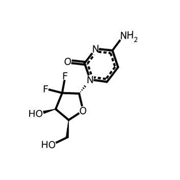 Nc1ccn([C@@H]2O[C@@H](CO)[C@@H](O)C2(F)F)c(=O)n1